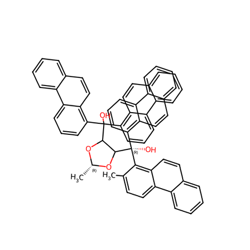 Cc1ccc2c(ccc3ccccc32)c1[C@](O)(c1cccc2c1ccc1ccccc12)C1O[C@H](C)OC1C(O)(c1cccc2c1ccc1ccccc12)c1cccc2c1ccc1ccccc12